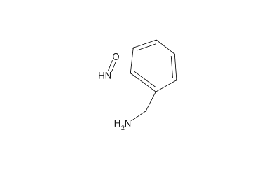 N=O.NCc1ccccc1